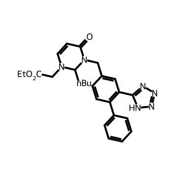 CCCCC1N(CC(=O)OCC)C=CC(=O)N1Cc1ccc(-c2ccccc2)c(-c2nnn[nH]2)c1